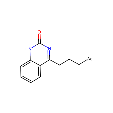 CC(=O)CCCc1nc(=O)[nH]c2ccccc12